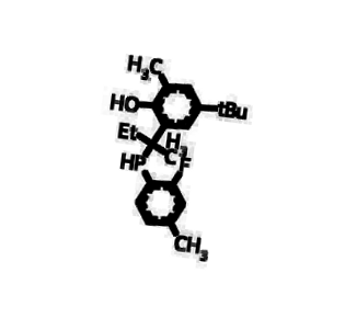 CCC(C)(Pc1ccc(C)cc1F)c1cc(C(C)(C)C)cc(C)c1O